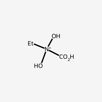 CC[N+](O)(O)C(=O)O